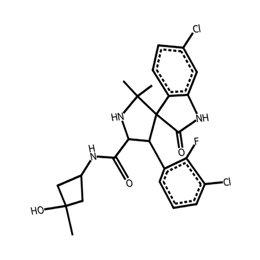 CC1(O)CC(NC(=O)C2NC(C)(C)C3(C(=O)Nc4cc(Cl)ccc43)C2c2cccc(Cl)c2F)C1